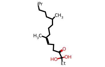 CCC(O)(O)C(=O)CCC=C(C)CCCC(C)CCCC(C)C